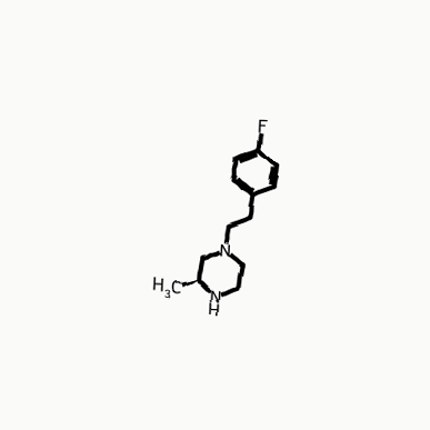 C[C@H]1CN(CCc2ccc(F)cc2)CCN1